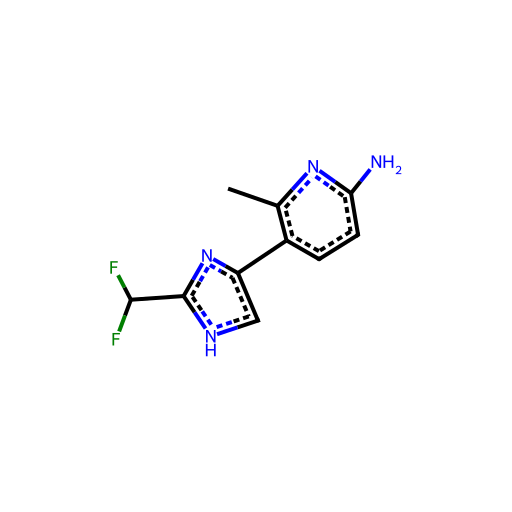 Cc1nc(N)ccc1-c1c[nH]c(C(F)F)n1